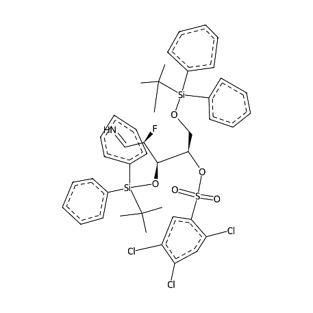 CC(C)(C)[Si](OC[C@@H](OS(=O)(=O)c1cc(Cl)c(Cl)cc1Cl)[C@@H](O[Si](c1ccccc1)(c1ccccc1)C(C)(C)C)[C@H](F)C=N)(c1ccccc1)c1ccccc1